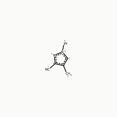 Cc1cn(C(C)C)nc1C#N